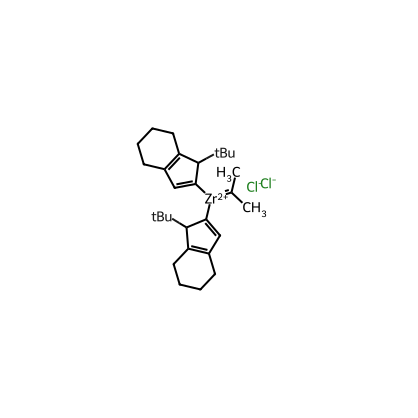 C[C](C)=[Zr+2]([C]1=CC2=C(CCCC2)C1C(C)(C)C)[C]1=CC2=C(CCCC2)C1C(C)(C)C.[Cl-].[Cl-]